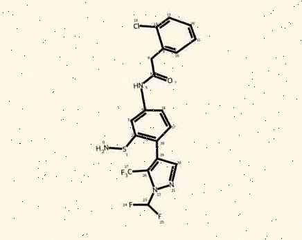 NSc1cc(NC(=O)Cc2ccccc2Cl)ccc1-c1cnn(C(F)F)c1C(F)(F)F